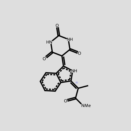 CNC(=O)/C(C)=c1/[nH]c(=C2C(=O)NC(=O)NC2=O)c2ccccc12